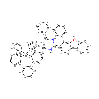 c1ccc(-c2ccccc2-c2cc(-c3ccc4c(c3)C3(c5ccccc5-c5ccccc5-4)c4ccccc4-c4ccccc43)nc(-c3ccc4c(c3)oc3ccccc34)n2)cc1